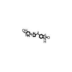 CC(c1ccc2[nH]c(=O)sc2c1)c1ccn(-c2ccc(CO)nn2)n1